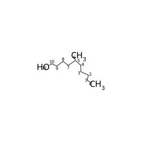 CCCCCC(C)CCCCO